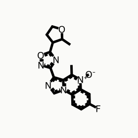 Cc1c2c(-c3noc(C4CCOC4C)n3)ncn2c2ccc(F)cc2[n+]1[O-]